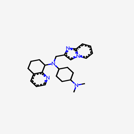 CN(C)C1CCC(N(Cc2cn3ccccc3n2)C2CCCc3cccnc32)CC1